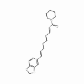 O=C(/C=C/CCCC/C=C/c1ccc2c(c1)OCO2)N1CCCCC1